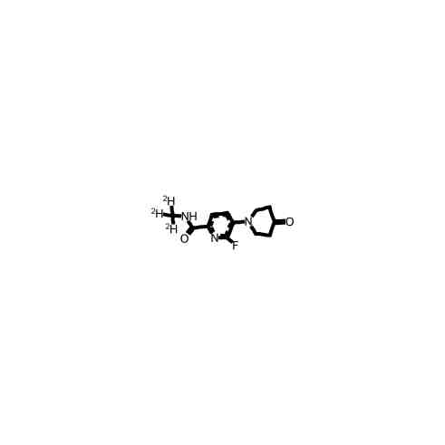 [2H]C([2H])([2H])NC(=O)c1ccc(N2CCC(=O)CC2)c(F)n1